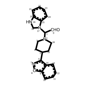 O=CC(N1CCC(c2noc3ccccc23)CC1)N1CNc2ccccc21